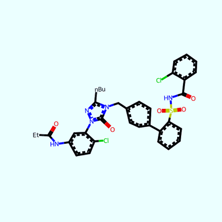 CCCCc1nn(-c2cc(NC(=O)CC)ccc2Cl)c(=O)n1Cc1ccc(-c2ccccc2S(=O)(=O)NC(=O)c2ccccc2Cl)cc1